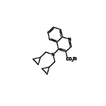 CCOC(=O)c1cnc2ccccc2c1N(CC1CC1)CC1CC1